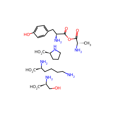 C[C@H](N)C(=O)OC(=O)[C@@H](N)Cc1ccc(O)cc1.NCCCC[C@H](N)C(=O)O.N[C@@H](CO)C(=O)O.O=C(O)[C@@H]1CCCN1